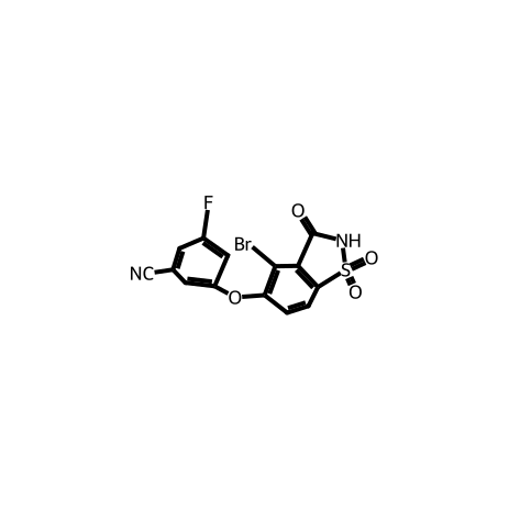 N#Cc1cc(F)cc(Oc2ccc3c(c2Br)C(=O)NS3(=O)=O)c1